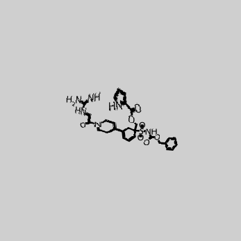 N=C(N)NCC(=O)N1CCC(C2=CC=CC(COC(=O)c3ccc[nH]3)(S(=O)(=O)NC(=O)OCc3ccccc3)C2)CC1